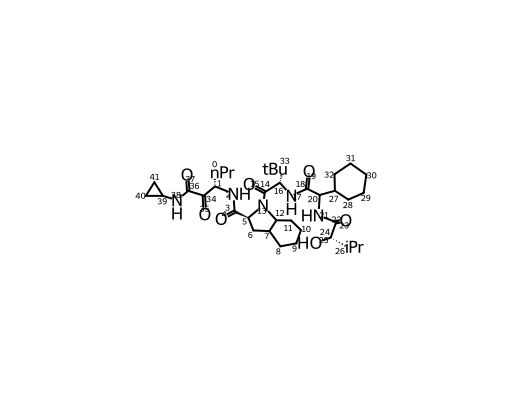 CCC[C@H](NC(=O)[C@@H]1CC2CCCCC2N1C(=O)[C@@H](NC(=O)C(NC(=O)[C@@H](O)C(C)C)C1CCCCC1)C(C)(C)C)C(=O)C(=O)NC1CC1